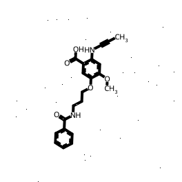 CC#CNc1cc(OC)c(OCCCNC(=O)c2ccccc2)cc1C(=O)O